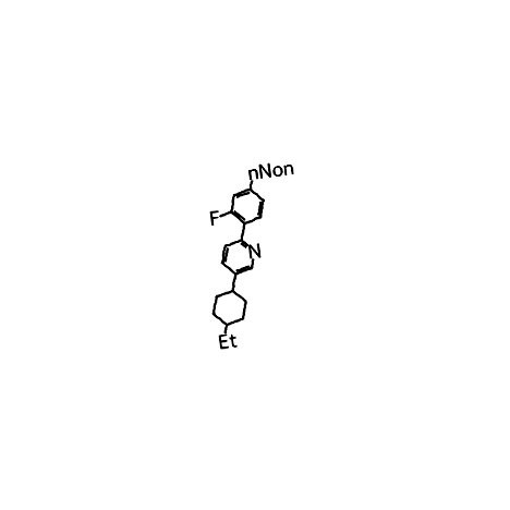 CCCCCCCCCc1ccc(-c2ccc(C3CCC(CC)CC3)cn2)c(F)c1